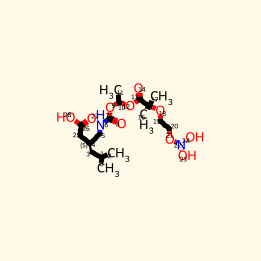 CC(C)C[C@H](CNC(=O)OC(C)OC(=O)C(C)(C)OCCON(O)O)CC(=O)O